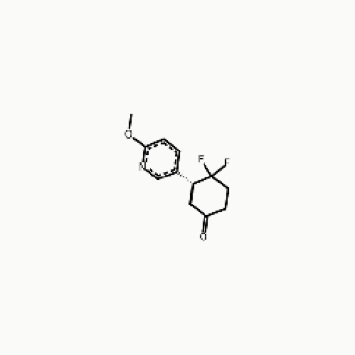 COc1ccc([C@H]2CC(=O)CCC2(F)F)cn1